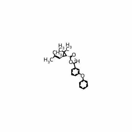 [2H]C(OC(=O)[C@@H]1[C@@H](C=C(C)C)C1(C)C)c1cccc(Oc2ccccc2)c1